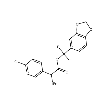 CC(C)C(C(=O)OC(F)(F)c1ccc2c(c1)OCO2)c1ccc(Cl)cc1